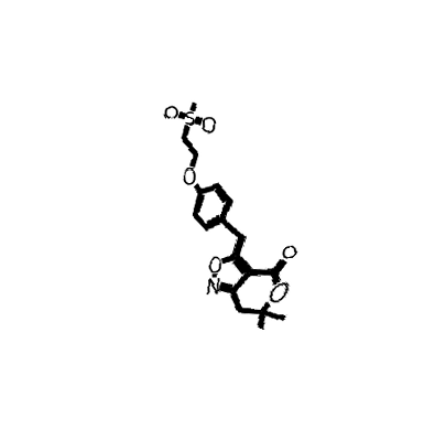 CC1(C)Cc2noc(Cc3ccc(OCCS(C)(=O)=O)cc3)c2C(=O)O1